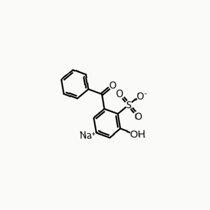 O=C(c1ccccc1)c1cccc(O)c1S(=O)(=O)[O-].[Na+]